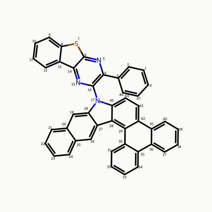 c1ccc(-c2nc3sc4ccccc4c3nc2-n2c3cc4ccccc4cc3c3c4c5ccccc5c5ccccc5c4ccc32)cc1